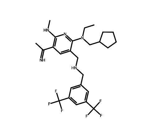 CCN(CC1CCCC1)c1nc(NC)c(C(C)=N)cc1CNCc1cc(C(F)(F)F)cc(C(F)(F)F)c1